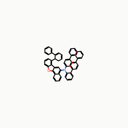 C1=CCC(c2cccc3oc4c5ccccc5c(N(c5ccc(-c6ccccc6)cc5)c5ccccc5-c5ccc(-c6ccccc6)cc5)cc4c23)C(c2ccccc2)=C1